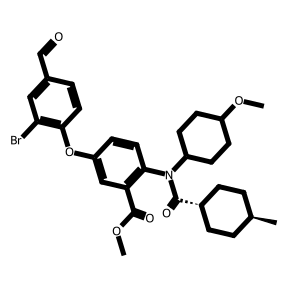 COC(=O)c1cc(Oc2ccc(C=O)cc2Br)ccc1N(C(=O)[C@H]1CC[C@H](C)CC1)C1CCC(OC)CC1